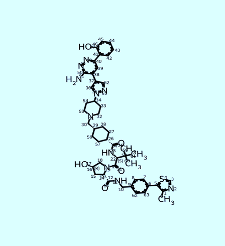 Cc1ncsc1-c1ccc(CNC(=O)[C@@H]2C[C@@H](O)CN2C(=O)[C@@H](NC(=O)[C@H]2CC[C@H](CN3CCC(n4cc(-c5cc(-c6ccccc6O)nnc5N)cn4)CC3)CC2)C(C)(C)C)cc1